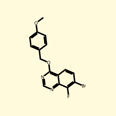 COc1ccc(COc2ncnc3c(F)c(Br)ccc23)cc1